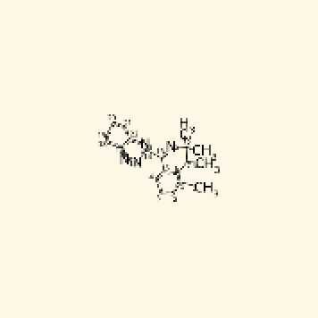 Cc1cccc2c1C(C)C(C)(C)N=C2c1nnc2ccccc2n1